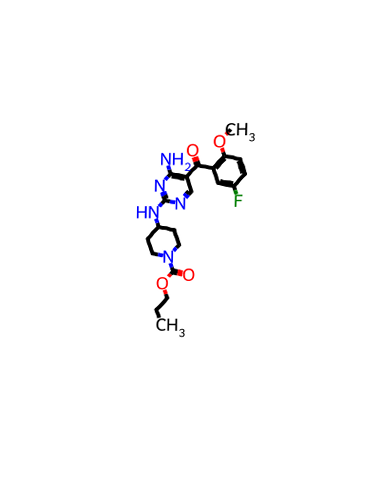 CCCOC(=O)N1CCC(Nc2ncc(C(=O)c3cc(F)ccc3OC)c(N)n2)CC1